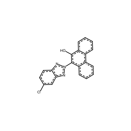 Oc1c(-n2nc3ccc(Cl)cc3n2)c2ccccc2c2ccccc12